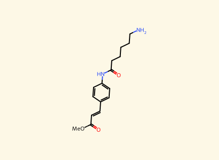 COC(=O)C=Cc1ccc(NC(=O)CCCCCN)cc1